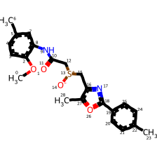 COc1ccc(C)cc1NC(=O)C[S+]([O-])Cc1nc(-c2ccc(C)cc2)oc1C